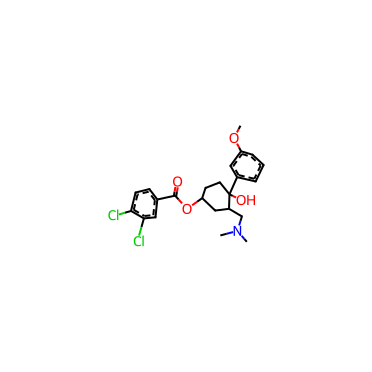 COc1cccc(C2(O)CCC(OC(=O)c3ccc(Cl)c(Cl)c3)CC2CN(C)C)c1